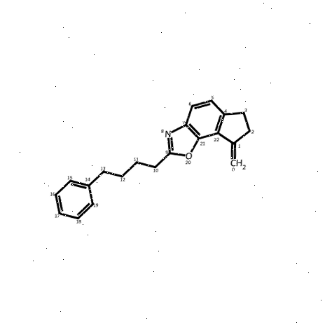 C=C1CCc2ccc3nc(CCCCc4ccccc4)oc3c21